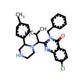 Cc1ccc(C2CNCCN2C(c2nc3cc(Cl)ccc3c(=O)n2Cc2ccccc2)C(C)C)cc1